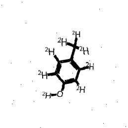 [2H]Oc1c([2H])c([2H])c(C([2H])([2H])[2H])c([2H])c1[2H]